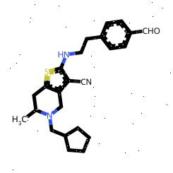 CC1Cc2sc(NCCc3ccc(C=O)cc3)c(C#N)c2CN1CC1CCCC1